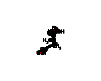 C#Cc1c(F)ccc2cc(O)cc(-c3ncc4c(N5CC6CCC(C5)N6)nc(OC[C@@]56CC[C@@H](COC(=O)N(C)CCCCCCCc7ccc8c(c7)C(=O)N(C7CCC(=O)NC7=O)C8=O)N5CC(C)C6)nc4c3F)c12